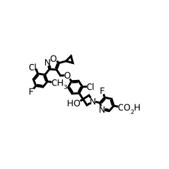 Cc1cc(F)cc(Cl)c1-c1noc(C2CC2)c1COc1ccc(C2(O)CN(c3ncc(C(=O)O)cc3F)C2)c(Cl)c1